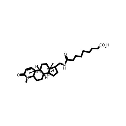 CN1C(=O)C=C[C@@]2(C)C1CC[C@@H]1[C@H]2CC[C@]2(C)C(CNC(=O)CCCCCCCC(=O)O)CC[C@@H]12